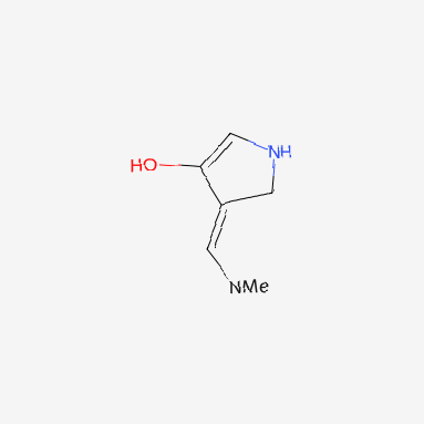 CN/C=C1\CNC=C1O